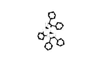 Clc1ccccc1-n1c(-n2cnc(-c3ccccc3)c2-c2ccccc2)nc(-c2ccccc2)c1-c1ccccc1